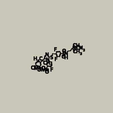 COC(=O)c1cc(-n2c(C(C)(C)c3ccc(Cl)c(OC)c3)cnc2SCc2c(F)cc(S(=O)(=O)NCCC[N+](C)(C)C)cc2F)ccc1F